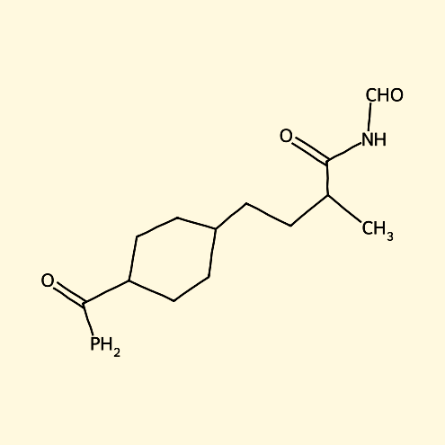 CC(CCC1CCC(C(=O)P)CC1)C(=O)NC=O